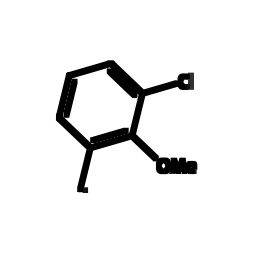 [CH2]c1cccc(Cl)c1OC